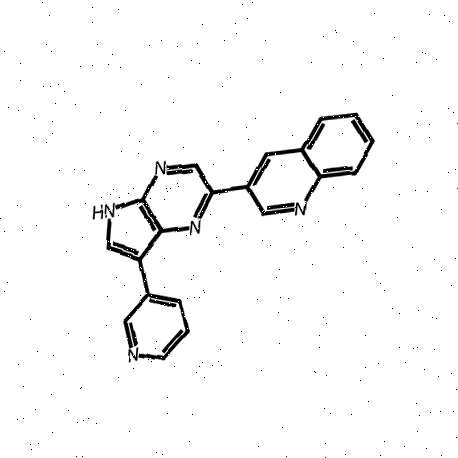 c1cncc(-c2c[nH]c3ncc(-c4cnc5ccccc5c4)nc23)c1